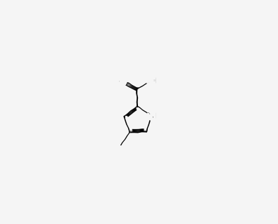 [CH2]c1c[nH]c(C(=O)O)c1